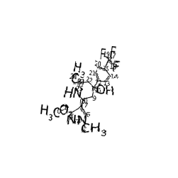 COc1nn(C)cc1[C@@H]1CC(O)(c2ccc(C(F)(F)F)cc2)C[C@H](C)N1